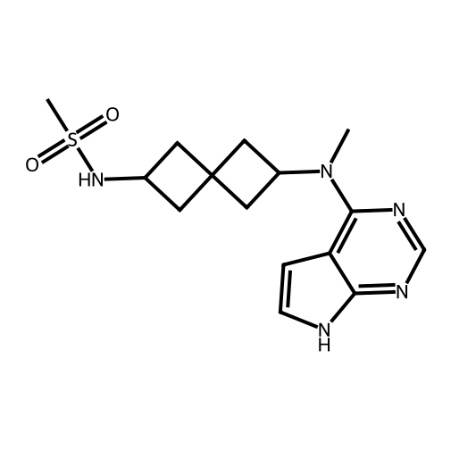 CN(c1ncnc2[nH]ccc12)C1CC2(CC(NS(C)(=O)=O)C2)C1